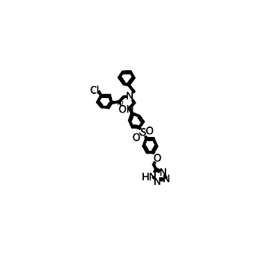 O=S(=O)(c1ccc(CCN(Cc2ccccc2)C[C@H](O)c2cccc(Cl)c2)cc1)c1ccc(OCc2nnn[nH]2)cc1